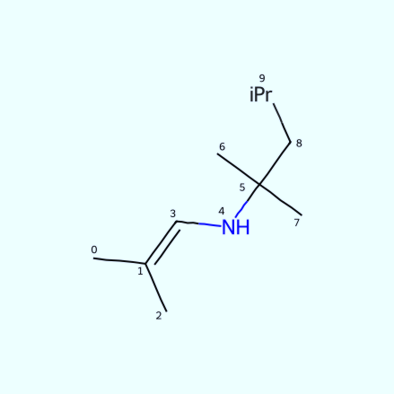 CC(C)=CNC(C)(C)CC(C)C